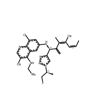 C=C(/C(C)=C(C#N)\C=C/C)[C@H](Nc1cc(Cl)c2ncc(C#N)c(NCC(C)(C)C)c2c1)c1cn([C@@H](C)CF)nn1